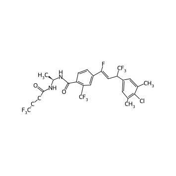 Cc1cc(C(/C=C(\F)c2ccc(C(=O)N[C@H](C)NC(=O)CCC(F)(F)F)c(C(F)(F)F)c2)C(F)(F)F)cc(C)c1Cl